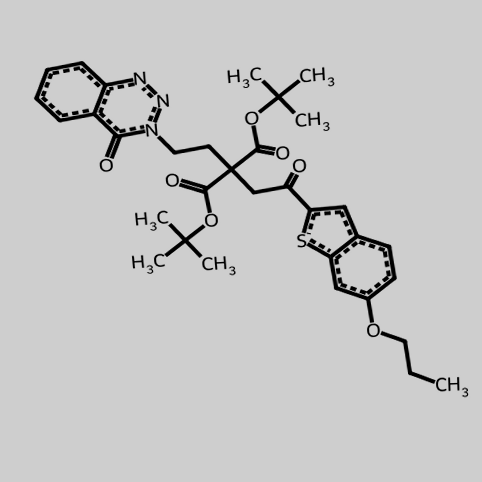 CCCOc1ccc2cc(C(=O)CC(CCn3nnc4ccccc4c3=O)(C(=O)OC(C)(C)C)C(=O)OC(C)(C)C)sc2c1